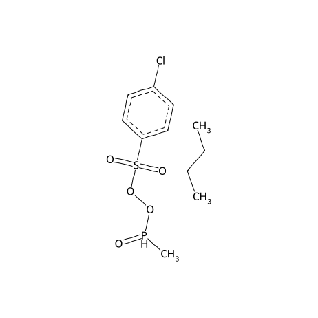 CCCC.C[PH](=O)OOS(=O)(=O)c1ccc(Cl)cc1